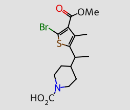 COC(=O)c1c(Br)sc(C(C)C2CCN(C(=O)O)CC2)c1C